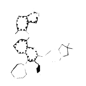 Cc1ccc2[nH]ncc2c1Oc1cccc2c(N3CCNCC3)c(C#N)c(OC[C@@H]3CC(F)(F)CN3C)nc12